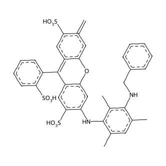 C=c1cc2c(cc1S(=O)(=O)O)=C(c1ccccc1S(=O)(=O)O)c1cc(S(=O)(=O)O)c(Nc3c(C)cc(C)c(NCc4ccccc4)c3C)cc1O2